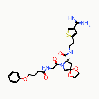 N=C(N)c1csc(CCNC(=O)[C@@H]2CC3(CN2C(=O)CNC(=O)CCCOc2ccccc2)OCCO3)c1